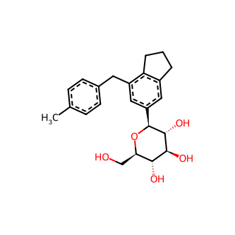 Cc1ccc(Cc2cc([C@@H]3O[C@H](CO)[C@@H](O)[C@H](O)[C@H]3O)cc3c2CCC3)cc1